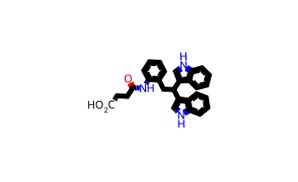 O=C(O)CCC(=O)Nc1ccccc1CC(c1c[nH]c2ccccc12)c1c[nH]c2ccccc12